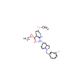 CBc1cnc(Nc2ccc3c(ccn3Cc3cccc(F)c3)c2)c(C(=O)OC)c1